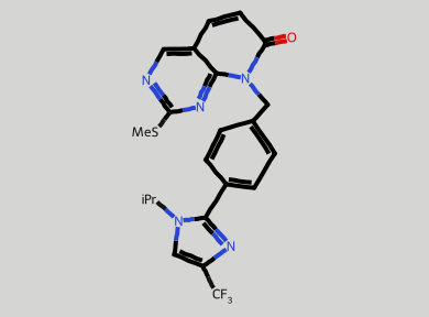 CSc1ncc2ccc(=O)n(Cc3ccc(-c4nc(C(F)(F)F)cn4C(C)C)cc3)c2n1